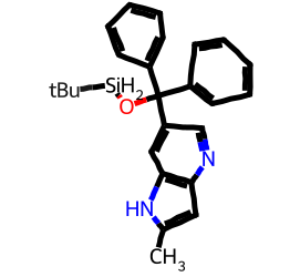 Cc1cc2ncc(C(O[SiH2]C(C)(C)C)(c3ccccc3)c3ccccc3)cc2[nH]1